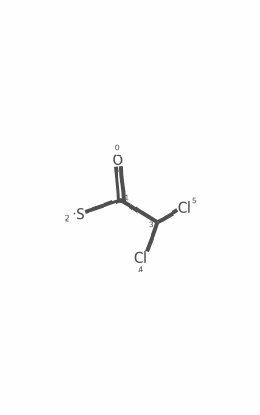 O=C([S])C(Cl)Cl